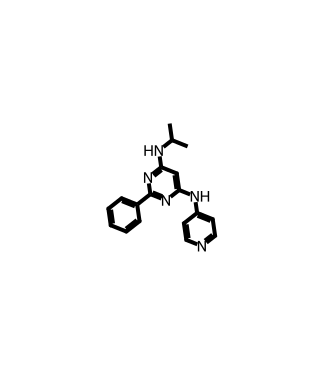 CC(C)Nc1cc(Nc2ccncc2)nc(-c2ccccc2)n1